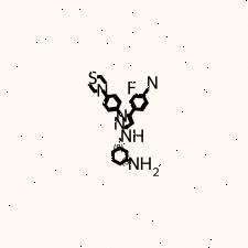 N#Cc1ccc(-c2cc(NC[C@H]3CCC[C@H](N)C3)nn2-c2ccc(N3CCSCC3)cc2)cc1F